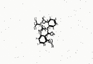 COc1ccccc1-n1c(SC(C)C)nc2cccc(OC)c2c1=O